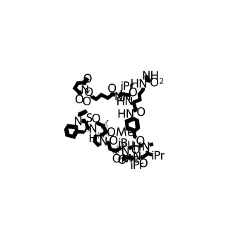 CC[C@H](C)[C@@H]([C@@H](CC(=O)N1CCC[C@H]1[C@H](OC)[C@@H](C)C(=O)N[C@@H](Cc1ccccc1)c1nccs1)OC)N(C)C(=O)[C@@H](NC(=O)C(C(C)C)N(C)C(=O)OCc1ccc(NC(=O)C(CCCNC(N)=O)NC(=O)[C@@H](NC(=O)CCCC(=O)ON2C(=O)CCC2=O)C(C)C)cc1)C(C)C